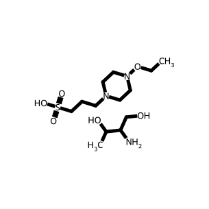 CC(O)C(N)CO.CCON1CCN(CCCS(=O)(=O)O)CC1